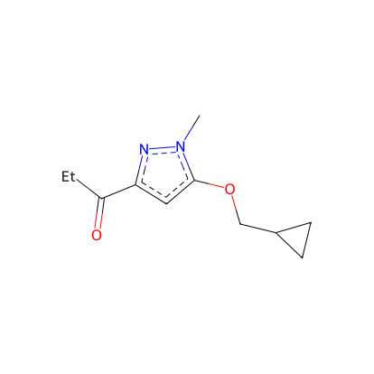 CCC(=O)c1cc(OCC2CC2)n(C)n1